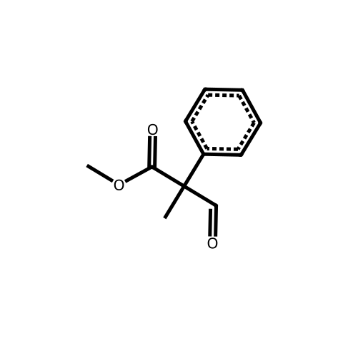 COC(=O)C(C)(C=O)c1ccccc1